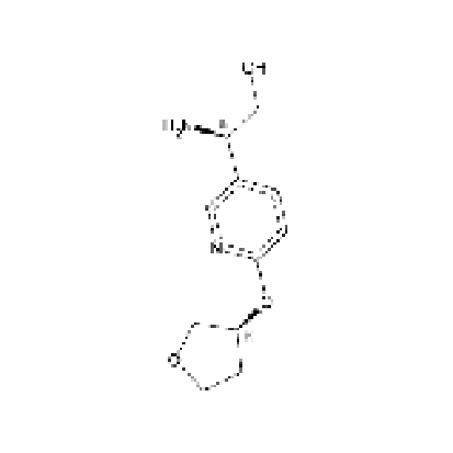 N[C@@H](CO)c1ccc(O[C@H]2CCOC2)nc1